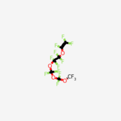 FC(F)=C(F)OC(F)(F)C(F)(F)OC(F)(F)OC(F)(F)OC(F)(F)F